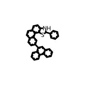 c1ccc(C2Nc3ccc4ccc5ccc(-c6cc7ccccc7c7ccccc67)cc5c4c3S2)cc1